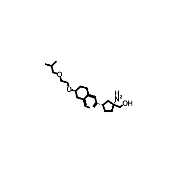 C=C(/C=C1/CC[C@H](OCCOCC(C)C)C/C1=C/C)[C@H]1CC[C@](N)(CO)C1